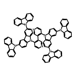 c1ccc2c(c1)c1ccccc1n2-c1ccc2c(c1)c1cc(-n3c4ccccc4c4ccccc43)ccc1n2-c1ccncc1-c1cnccc1-n1c2ccc(-n3c4ccccc4c4ccccc43)cc2c2cc(-n3c4ccccc4c4ccccc43)ccc21